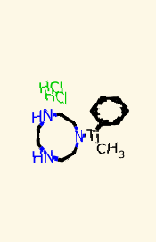 Cl.Cl.[CH3][Ti]([c]1ccccc1)[N]1CCNCCNCC1